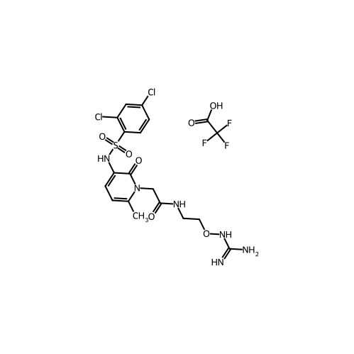 Cc1ccc(NS(=O)(=O)c2ccc(Cl)cc2Cl)c(=O)n1CC(=O)NCCONC(=N)N.O=C(O)C(F)(F)F